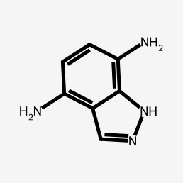 Nc1ccc(N)c2[nH]ncc12